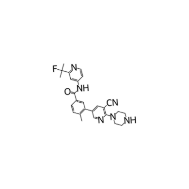 Cc1ccc(C(=O)Nc2ccnc(C(C)(C)F)c2)cc1-c1cnc(N2CCNCC2)c(C#N)c1